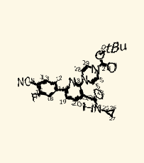 CC(C)(C)OC(=O)N1C=CN(c2nc(-c3ccc(C#N)c(F)c3)ccc2C(=O)NC2CC2)C=C1